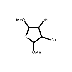 COC1OC(OC)C(C(C)(C)C)C1C(C)(C)C